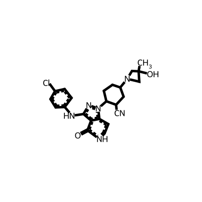 CC1(O)CN(C2CCC(n3nc(Nc4ccc(Cl)cc4)c4c(=O)[nH]ccc43)C(C#N)C2)C1